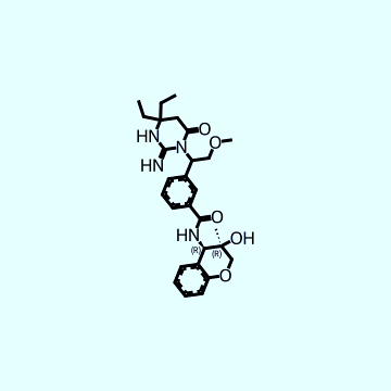 CCC1(CC)CC(=O)N(C(COC)c2cccc(C(=O)N[C@@H]3c4ccccc4OC[C@]3(C)O)c2)C(=N)N1